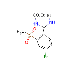 CCNC(NC(=O)OCC)c1ccc(Br)cc1S(C)(=O)=O